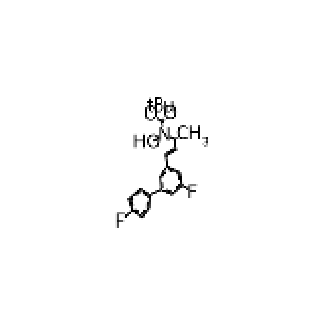 C[C@@H](C=Cc1cc(F)cc(-c2ccc(F)cc2)c1)N(O)C(=O)OC(C)(C)C